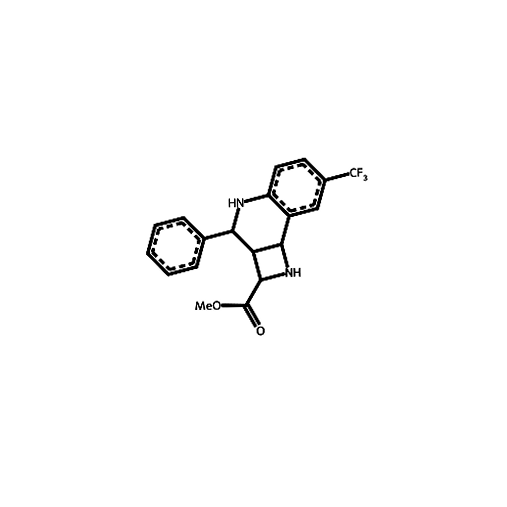 COC(=O)C1NC2c3cc(C(F)(F)F)ccc3NC(c3ccccc3)C12